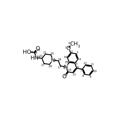 COc1ccc2c(-c3ccccc3)cc(=O)n(CCN3CCC(NC(=O)O)CC3)c2c1